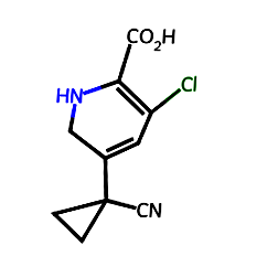 N#CC1(C2=CC(Cl)=C(C(=O)O)NC2)CC1